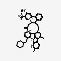 C=C1CC2C(CCc3cc(C)c4c(oc5nc(C)ccc54)c3-c3cc(CC4CCCCC4)cc[n+]31)c1ccccc1-c1cc(C(C)C)c([Si](C)(C)C)c[n+]12